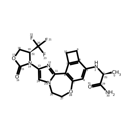 C[C@H](Nc1cc2c(c3c1CC3)-c1nc(N3C(=O)OC[C@H]3C(F)(F)F)cn1CCO2)C(N)=O